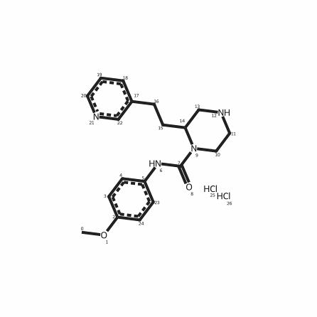 COc1ccc(NC(=O)N2CCNCC2CCc2cccnc2)cc1.Cl.Cl